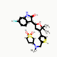 CN(Cc1cc(C2=CC(=C3C(=O)Nc4cc(F)ccc43)OC2(C)C)cs1)C1CCS(=O)(=O)C1